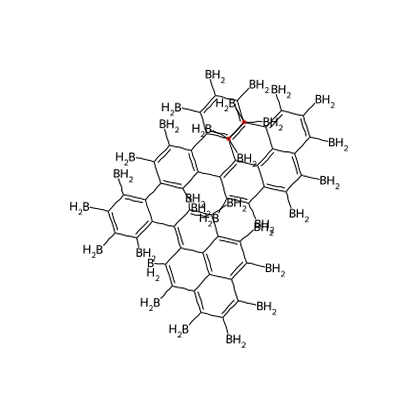 Bc1c(B)c(B)c(-c2c(B)c(B)c(-c3c(B)c(B)c(B)c(B)c3-c3c(B)c(B)c4c(B)c(B)c5c(B)c(B)c(B)c6c(B)c(B)c3c4c56)c(B)c2-c2c(B)c(B)c3c(B)c(B)c4c(B)c(B)c(B)c5c(B)c(B)c2c3c45)c(B)c1B